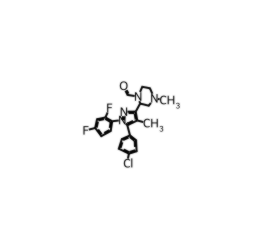 Cc1c(C2CN(C)CCN2C=O)nn(-c2ccc(F)cc2F)c1-c1ccc(Cl)cc1